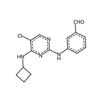 O=Cc1cccc(Nc2ncc(Cl)c(NC3CCC3)n2)c1